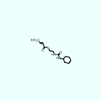 CCOC(=O)/C=C/C(=O)OCCNC(=O)NC1CCCCC1